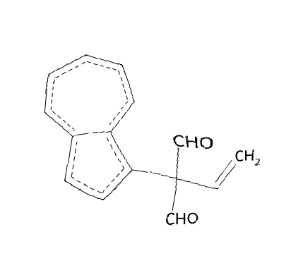 C=CC(C=O)(C=O)c1ccc2cccccc1-2